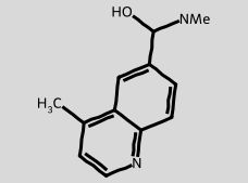 CNC(O)c1ccc2nccc(C)c2c1